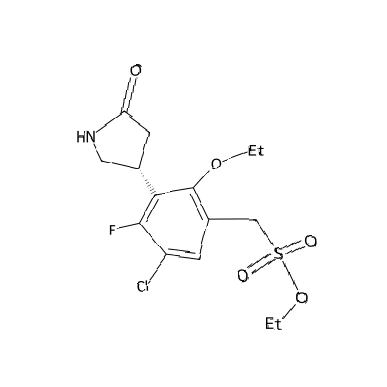 CCOc1c(CS(=O)(=O)OCC)cc(Cl)c(F)c1[C@@H]1CNC(=O)C1